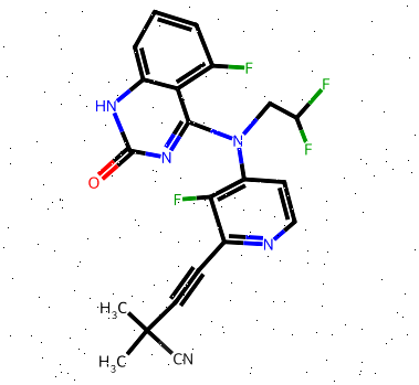 CC(C)(C#N)C#Cc1nccc(N(CC(F)F)c2nc(=O)[nH]c3cccc(F)c23)c1F